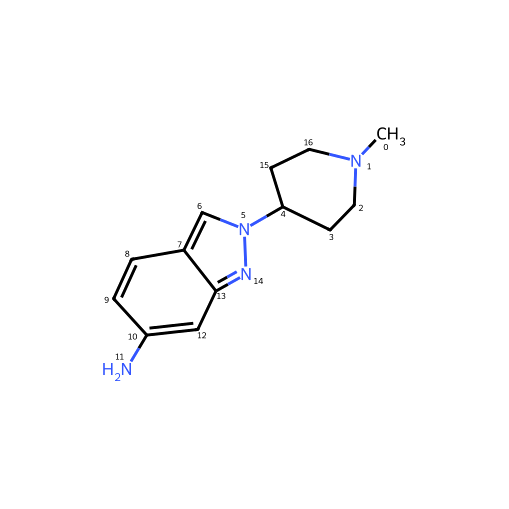 CN1CCC(n2cc3ccc(N)cc3n2)CC1